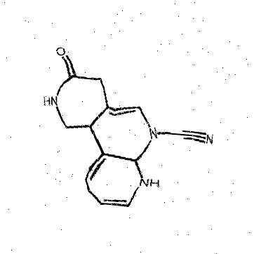 N#CN1C=C2CC(=O)NCC2C2=CC=CNC21